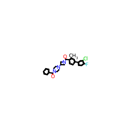 Cc1cc(-c2ccc(F)c(Cl)c2)ccc1C(=O)N1CC(N2CCN(C(=O)c3ccccc3)CC2)C1